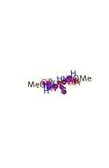 COC(=O)N[C@H](C(=O)N1CCC[C@H]1c1nc2ccc([C@H]3CC[C@H](c4ccc5nc([C@@H]6CCCN6C(=O)[C@@H](NC(=O)OC)C(C)C)[nH]c5c4)N3c3ccc(N4CCCCC4)c(C)c3)cc2[nH]1)C(C)C